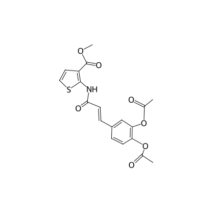 COC(=O)c1ccsc1NC(=O)C=Cc1ccc(OC(C)=O)c(OC(C)=O)c1